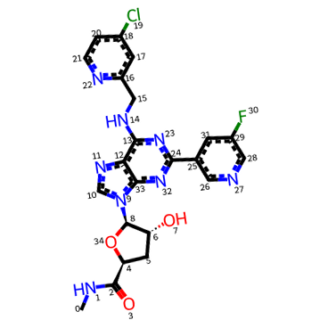 CNC(=O)[C@@H]1C[C@@H](O)[C@H](n2cnc3c(NCc4cc(Cl)ccn4)nc(-c4cncc(F)c4)nc32)O1